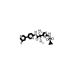 CC(C)(C(=O)Nc1ccc(-c2cncc(F)c2)cn1)c1csc(NS(=O)(=O)C2CC2)n1